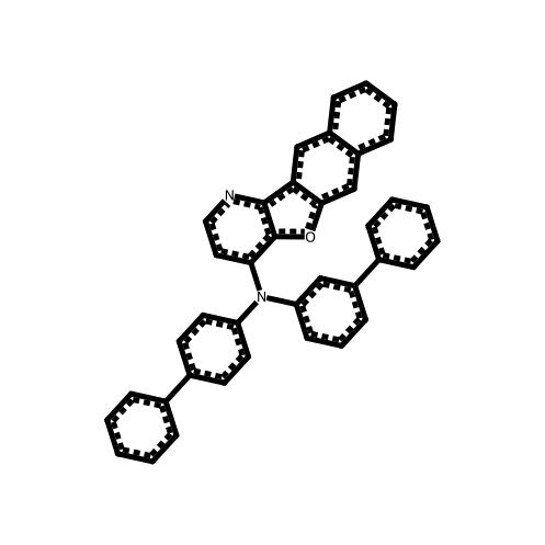 c1ccc(-c2ccc(N(c3cccc(-c4ccccc4)c3)c3ccnc4c3oc3cc5ccccc5cc34)cc2)cc1